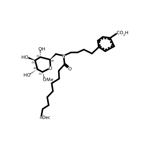 CCCCCCCCCCCCCCCCCC(=O)N(CCCCc1ccc(C(=O)O)cc1)C[C@H]1O[C@H](OC)[C@H](O)[C@@H](O)[C@@H]1O